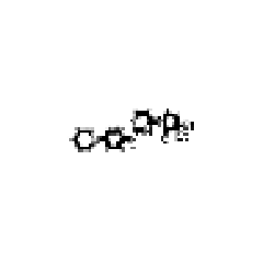 CCC1(CC)CCN(c2ccnc(Nc3ccc(N4CCCCC4)cc3)n2)C1=O